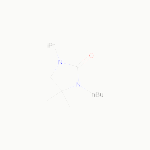 CCCCN1C(=O)N(C(C)C)CC1(C)C